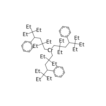 CCC(CC)(CC(c1ccccc1)C(CC)(CC)CC)[CH2][Cr]([CH2]C(CC)(CC)CC(c1ccccc1)C(CC)(CC)CC)[CH2]C(CC)(CC)CC(c1ccccc1)C(CC)(CC)CC